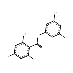 CCCc1cc(O)cc(O)c1C(=O)Oc1cc(O)cc(CC)c1